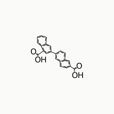 O=C(O)c1ccc2cc(-c3cc(C(=O)O)c4ccccc4c3)ccc2c1